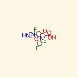 COc1c(N2CCNCC2)c(F)cc2c(=O)c(C(=O)O)cn(-c3ccc(F)cc3F)c12